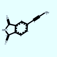 CC(C)(C)C#Cc1ccc2c(c1)C(=O)NC2=O